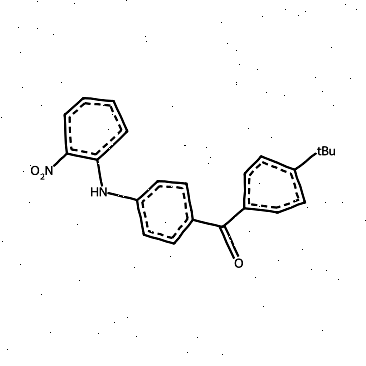 CC(C)(C)c1ccc(C(=O)c2ccc(Nc3ccccc3[N+](=O)[O-])cc2)cc1